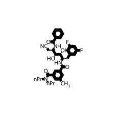 CCCN(CCC)C(=O)c1cc(C)cc(C(=O)N[C@@H](Cc2cc(F)cc(F)c2)[C@@H](O)[C@H](O)[C@@H](CC#N)NC(=O)c2ccccc2)c1